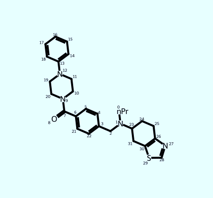 CCCN(Cc1ccc(C(=O)N2CCN(c3ccccc3)CC2)cc1)C1CCc2ncsc2C1